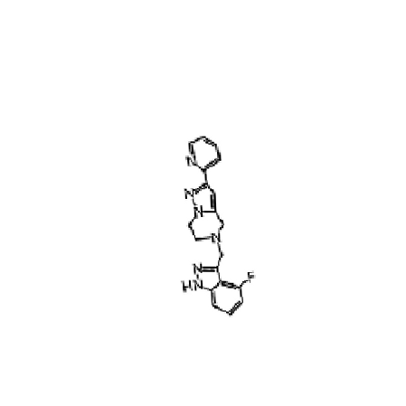 Fc1cccc2[nH]nc(CN3CCn4nc(-c5ccccn5)cc4C3)c12